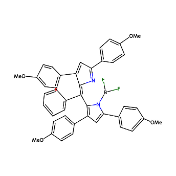 COc1ccc(C2=CC(c3ccc(OC)cc3)=N/C2=C(/c2ccccc2)c2c(-c3ccc(OC)cc3)cc(-c3ccc(OC)cc3)n2B(F)F)cc1